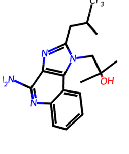 CC(Cc1nc2c(N)nc3ccccc3c2n1CC(C)(C)O)C(F)(F)F